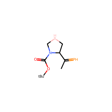 CC(=P)C1CBCN1C(=O)OC(C)(C)C